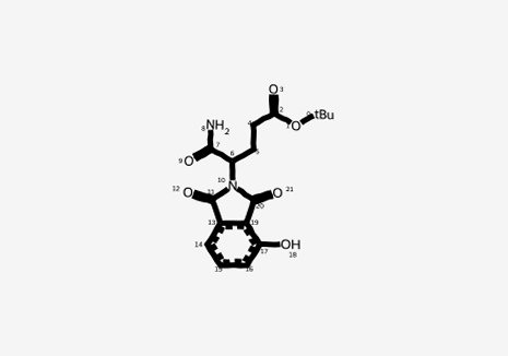 CC(C)(C)OC(=O)CCC(C(N)=O)N1C(=O)c2cccc(O)c2C1=O